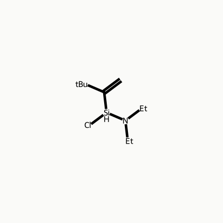 C=C([SiH](Cl)N(CC)CC)C(C)(C)C